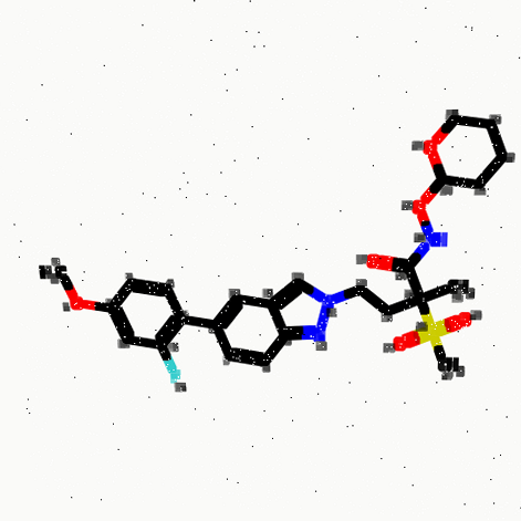 COc1ccc(-c2ccc3nn(CCC(C)(C(=O)NOC4CCCCO4)S(C)(=O)=O)cc3c2)c(F)c1